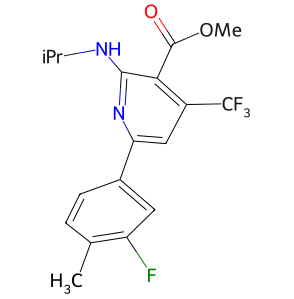 COC(=O)c1c(C(F)(F)F)cc(-c2ccc(C)c(F)c2)nc1NC(C)C